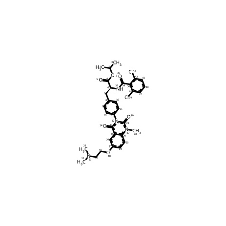 CC(C)OC(=O)[C@H](Cc1ccc(-n2c(=O)c3cc(OCCN(C)C)ccc3n(C)c2=O)cc1)NC(=O)c1c(Cl)cccc1Cl